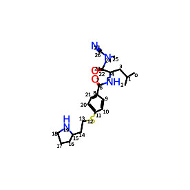 CC(C)CC(NC(=O)c1ccc(SCCC2CCCN2)cc1)C(=O)N(C)C#N